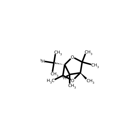 [3H]C(C)(C)[C@@]12OC(C)(C)[C@](C)(OC1C)[C@]2([3H])C